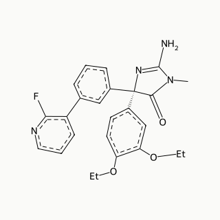 CCOc1ccc([C@]2(c3cccc(-c4cccnc4F)c3)N=C(N)N(C)C2=O)cc1OCC